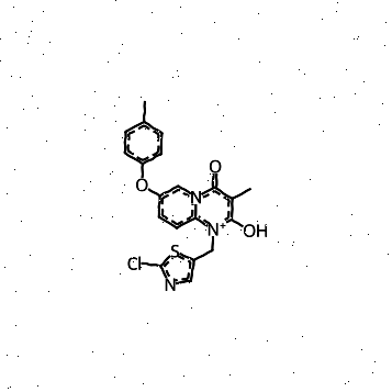 Cc1ccc(Oc2ccc3n(c2)c(=O)c(C)c(O)[n+]3Cc2cnc(Cl)s2)cc1